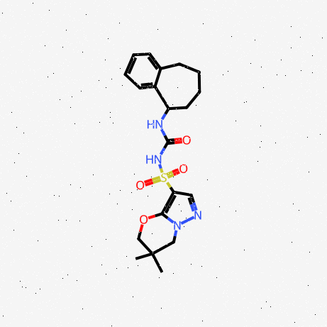 CC1(C)COc2c(S(=O)(=O)NC(=O)NC3CCCCc4ccccc43)cnn2C1